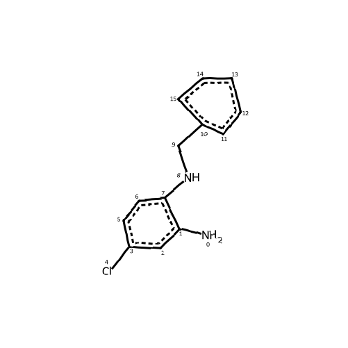 Nc1cc(Cl)ccc1NCc1ccccc1